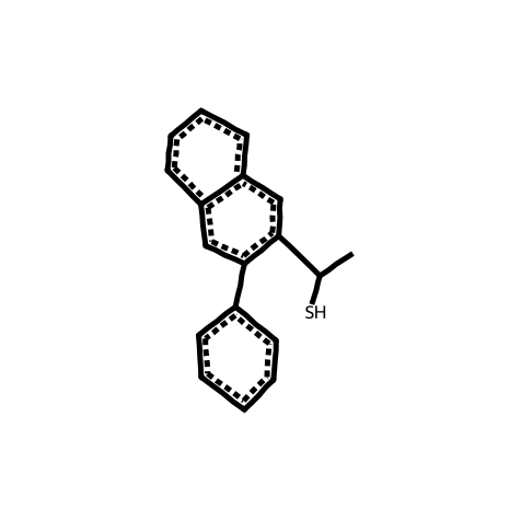 CC(S)c1cc2ccccc2cc1-c1ccccc1